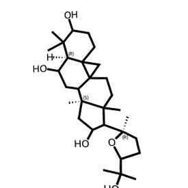 CC(C)(O)C1CC[C@](C)(C2C(O)C[C@@]3(C)C4CC(O)[C@H]5C(C)(C)C(O)CCC56CC46CCC23C)O1